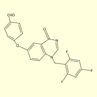 O=Cc1ccc(Oc2ccc3c(c2)c(=O)ncn3Cc2c(F)cc(F)cc2F)cc1